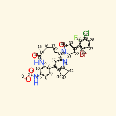 COC(=O)Nc1ccc2c(c1)NC(=O)[C@H](C)CCC[C@H](N1CCC(c3c(Br)ccc(Cl)c3F)=CC1=O)c1cc-2c2c(n1)CCC2